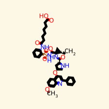 C=C[C@@H]1C[C@@]1(NC(=O)[C@@H]1C[C@@H](Oc2cc(-c3ccccc3)nc3cc(OC)ccc23)CN1)C(=O)NS(=O)(=O)c1ccccc1NC(=O)CCCCCCC(=O)O